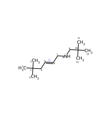 CC(C)(C)C/C=C/CNCC(C)(C)C